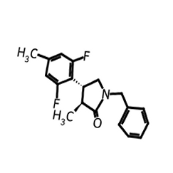 Cc1cc(F)c([C@@H]2CN(Cc3ccccc3)C(=O)[C@H]2C)c(F)c1